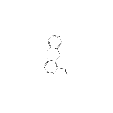 O=[C]c1cccc2c1Cc1ccccc1O2